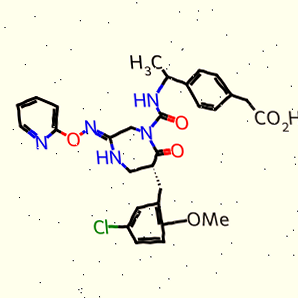 COc1ccc(Cl)cc1C[C@@H]1CN/C(=N\Oc2ccccn2)CN(C(=O)NC(C)c2ccc(CC(=O)O)cc2)C1=O